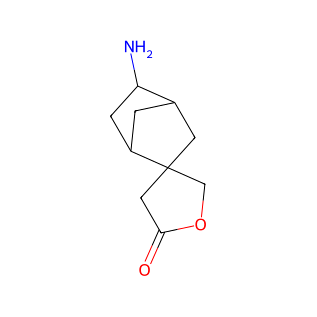 NC1CC2CC1CC21COC(=O)C1